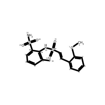 COc1ccccc1C=CS(=O)(=O)Nc1c(F)cccc1S(N)(=O)=O